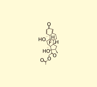 CC(=O)OCC(=O)[C@@]1(O)[C@H](C)C[C@H]2[C@@H]3CCC4=CC(=O)C=C[C@]4(C)C3(F)[C@@H](O)C[C@@]21C